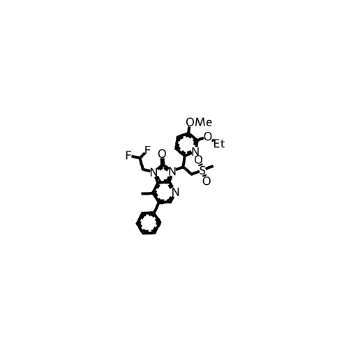 CCOc1nc(C(CS(C)(=O)=O)n2c(=O)n(CC(F)F)c3c(C)c(-c4ccccc4)cnc32)ccc1OC